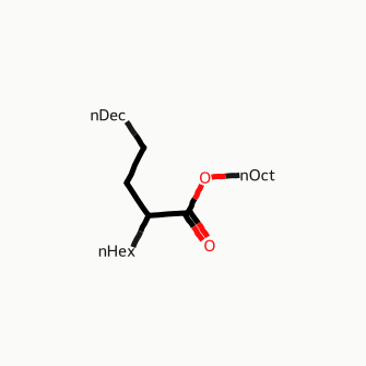 CCCCCCCCCCCCC(CCCCCC)C(=O)OCCCCCCCC